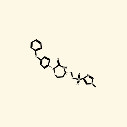 Cn1cnc(S(=O)(=O)NC[C@@H]2CCS[C@H](c3ccc(Oc4ccccc4)cc3)C(=O)N2)c1